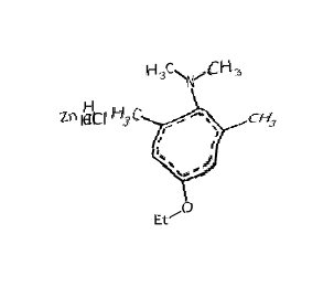 CCOc1cc(C)c(N(C)C)c(C)c1.Cl.Cl.[Zn]